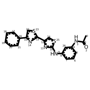 CC(=O)Nc1cccc(Nc2nc(-c3nc(-c4ccccc4)cs3)cs2)c1